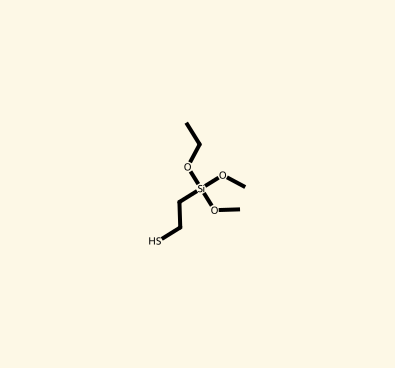 CCO[Si](CCS)(OC)OC